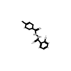 CC1=CCC(C(=O)NNC(=O)c2ccccc2Cl)CC1